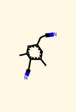 Cc1cc(CC#N)cc(C)c1C#N